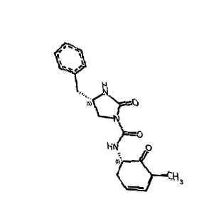 CC1C=CC[C@H](NC(=O)N2C[C@H](Cc3ccccc3)NC2=O)C1=O